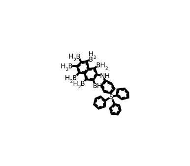 Bc1c(B)c(B)c2c(B)c(Nc3ccc(S(c4ccccc4)(c4ccccc4)c4ccccc4)cc3)c(B)c(B)c2c1B